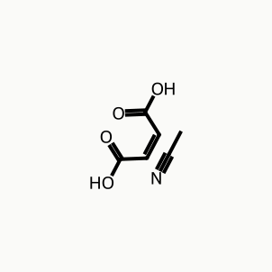 CC#N.O=C(O)/C=C\C(=O)O